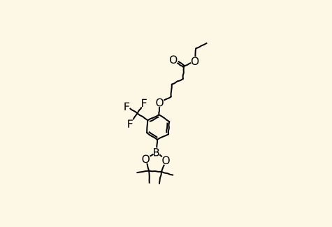 CCOC(=O)CCCOc1ccc(B2OC(C)(C)C(C)(C)O2)cc1C(F)(F)F